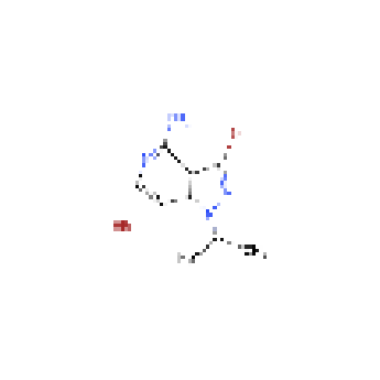 Br.CC(C)n1nc(Br)c2c(N)nccc21